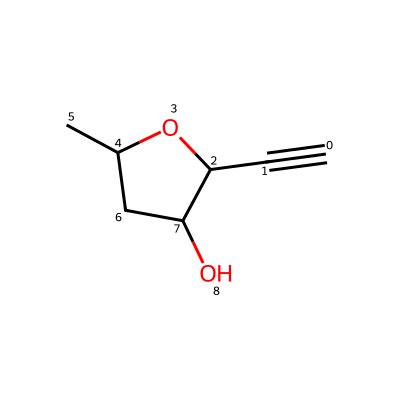 C#CC1OC(C)CC1O